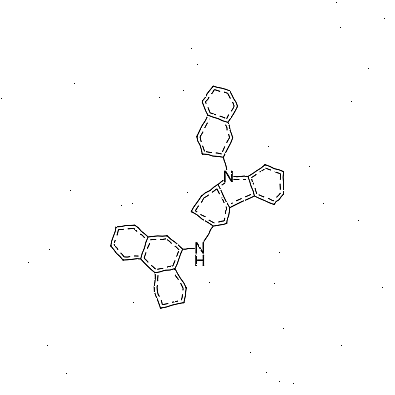 c1ccc2cc(-n3c4ccccc4c4cc(Nc5cc6ccccc6c6ccccc56)ccc43)ccc2c1